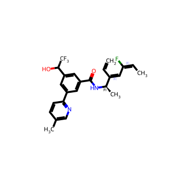 C=C/C(=C\C(F)=C/C)[C@@H](C)NC(=O)c1cc(-c2ccc(C)cn2)cc(C(O)C(F)(F)F)c1